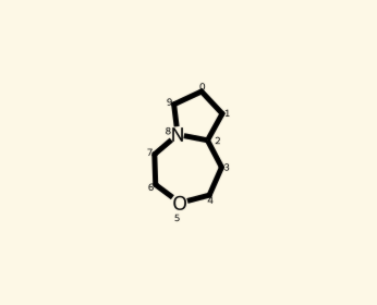 C1CC2CCOCCN2C1